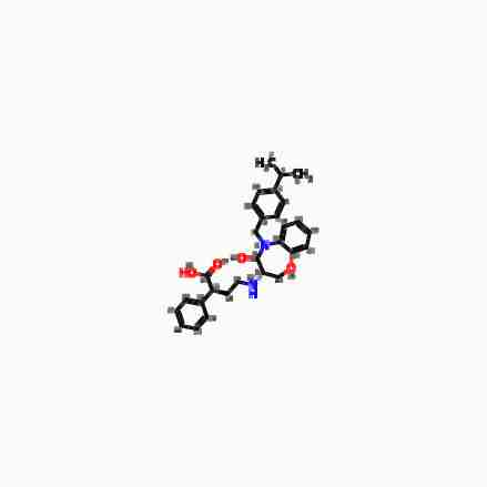 CC(C)c1ccc(CN2C(=O)[C@@H](NCC[C@H](C(=O)O)c3ccccc3)COc3ccccc32)cc1